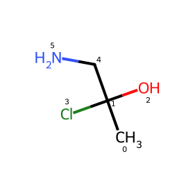 CC(O)(Cl)CN